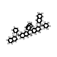 c1ccc(N(c2ccc3ccccc3c2)c2ccc3cc4c(cc3c2)C2(c3cc5cc(N(c6ccccc6)c6ccc7ccccc7c6)ccc5cc3S4)C3CC4CC(C3)CC2C4)cc1